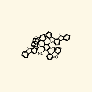 N#Cc1c(-c2cccc3oc4ccccc4c23)c(C#N)c(-n2c3ccccc3c3c4sc5ccccc5c4ccc32)c(-c2cccc3oc4ccccc4c23)c1-n1c2ccccc2c2c3sc4ccccc4c3ccc21